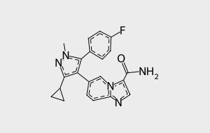 Cn1nc(C2CC2)c(-c2ccc3ncc(C(N)=O)n3c2)c1-c1ccc(F)cc1